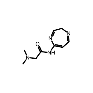 CN(C)CC(=O)NC1=CC=NCC=N1